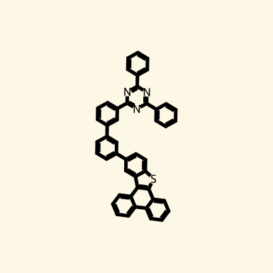 c1ccc(-c2nc(-c3ccccc3)nc(-c3cccc(-c4cccc(-c5ccc6sc7c8ccccc8c8ccccc8c7c6c5)c4)c3)n2)cc1